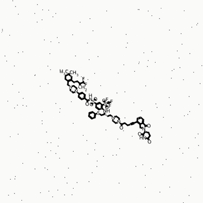 C=C(CCC1=C(CN2CCN(c3ccc(C(=O)NS(=O)(=O)c4ccc(N[C@H](CCN5CCN(C(=O)CCC#Cc6cccc7c6CN(C6CCC(=O)NC6=O)C7=O)CC5)CSc5ccccc5)c(S(=O)(=O)C(F)(F)F)c4)cc3)CC2)CCC(C)(C)C1)C(F)F